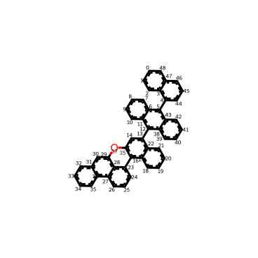 c1ccc2c(-c3c4ccccc4c(-c4cc5c(c6ccccc46)-c4cccc6c4c(cc4ccccc46)O5)c4ccccc34)cccc2c1